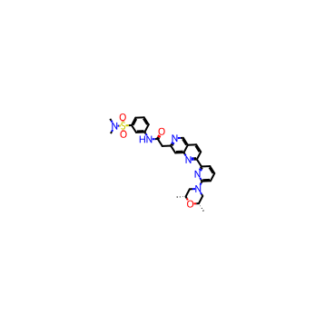 C[C@@H]1CN(c2cccc(-c3ccc4cnc(CC(=O)Nc5cccc(S(=O)(=O)N(C)C)c5)cc4n3)n2)C[C@H](C)O1